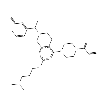 C=C/C=C(\C=C/C)C(C)N1CCc2c(nc(OCCCN(C)C)nc2N2CCN(C(=O)C=C)CC2)C1